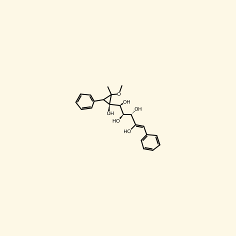 COC1(C)C(c2ccccc2)[C@@]1(O)[C@@H](O)[C@H](O)[C@H](O)C(O)=Cc1ccccc1